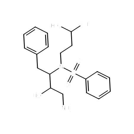 CC(C)CCN(C(Cc1ccccc1)C(O)CN)S(=O)(=O)c1ccccc1